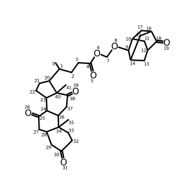 CC(CCC(=O)OCOC1C2CC3CC1CC(C2)C3=O)C1CCC2C3C(=O)CC4CC(=O)CCC4(C)C3CC(=O)C12C